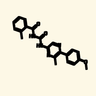 COc1ccc(-c2ncc(NC(=O)NC(=O)c3ccccc3C)nc2C)cc1